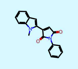 Cn1c(C2=CC(=O)N(c3ccccc3)C2=O)cc2ccccc21